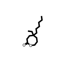 CCCCCCC1(CC)CCCOC(=O)CC1